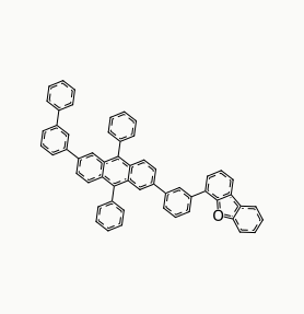 c1ccc(-c2cccc(-c3ccc4c(-c5ccccc5)c5cc(-c6cccc(-c7cccc8c7oc7ccccc78)c6)ccc5c(-c5ccccc5)c4c3)c2)cc1